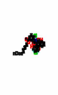 CCCCCCCCCCCCCCCCOC(=O)c1ccc(Cl)c(NC(=O)c2c(O)c(OC(F)(F)C(F)Cl)c3ccccc3c2O)c1